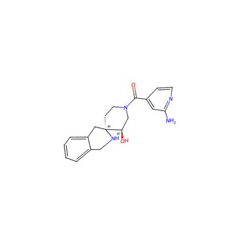 Nc1cc(C(=O)N2CC[C@]3(Cc4ccccc4CN3)[C@H](O)C2)ccn1